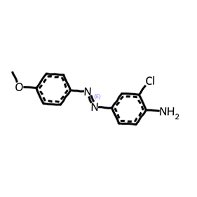 COc1ccc(/N=N/c2ccc(N)c(Cl)c2)cc1